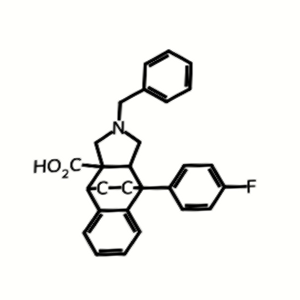 O=C(O)C12CN(Cc3ccccc3)CC1C1(c3ccc(F)cc3)CCC2c2ccccc21